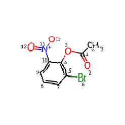 CC(=O)Oc1c(Br)cccc1[N+](=O)[O-]